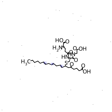 CCCCC/C=C/C/C=C/C/C=C/C(CC(=O)CCCC(=O)O)SC[C@@H](NC(=O)CC[C@H](N)C(=O)O)C(=O)NCC(=O)O